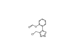 O=COc1ccccc1-c1snnc1CCl